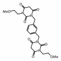 COCCN1C(=O)CC(=O)N(Cc2cccc(CN3C(=O)CC(=O)N(CCOC)C3=O)c2)C1=O